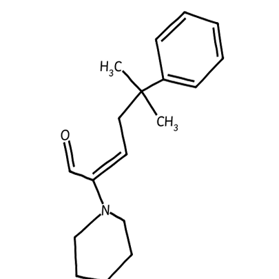 CC(C)(C/C=C(\C=O)N1CCCCC1)c1ccccc1